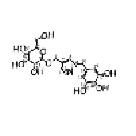 OCC1O[C@@H](OCc2cn(Cc3cc(O)c(O)c(O)c3)nn2)C(O)[C@@H](O)[C@@H]1O